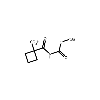 CC(C)(C)OC(=O)NC(=O)C1(C(=O)O)CCC1